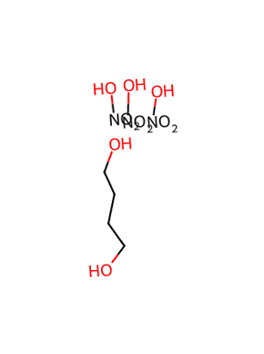 O=[N+]([O-])O.O=[N+]([O-])O.O=[N+]([O-])O.OCCCCO